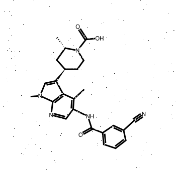 Cc1c(NC(=O)c2cccc(C#N)c2)cnc2c1c([C@@H]1CCN(C(=O)O)[C@@H](C)C1)cn2C